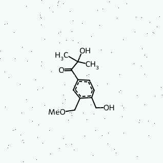 COCc1cc(C(=O)C(C)(C)O)ccc1CO